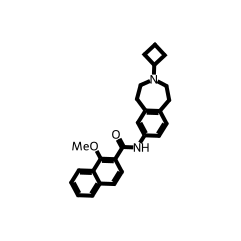 COc1c(C(=O)Nc2ccc3c(c2)CCN(C2CCC2)CC3)ccc2ccccc12